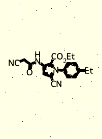 CCOC(=O)c1c(NC(=O)CC#N)cc(C#N)n1-c1ccc(CC)cc1